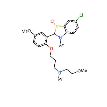 COCCN(CCCOc1ccc(OC)cc1C1N(C(C)=O)c2ccc(Cl)cc2[S+]1[O-])C(C)C